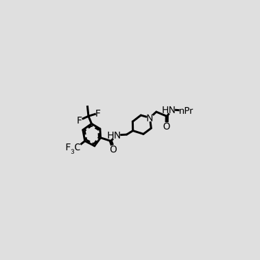 CCCNC(=O)CN1CCC(CNC(=O)c2cc(C(C)(F)F)cc(C(F)(F)F)c2)CC1